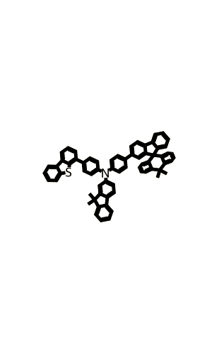 CC1(C)c2ccccc2-c2ccc(N(c3ccc(-c4ccc5c(c4)C4(c6ccccc6-5)c5ccccc5C(C)(C)c5ccccc54)cc3)c3ccc(-c4cccc5c4sc4ccccc45)cc3)cc21